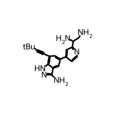 CC(C)(C)C#Cc1cc(-c2ccnc(C(N)CN)c2)cc2c(N)n[nH]c12